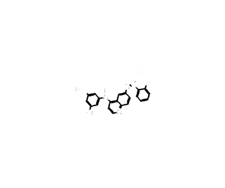 Cc1cc(O)cc(Nc2ccnc3ccc(N=S(C)c4ccccc4O)cc23)c1